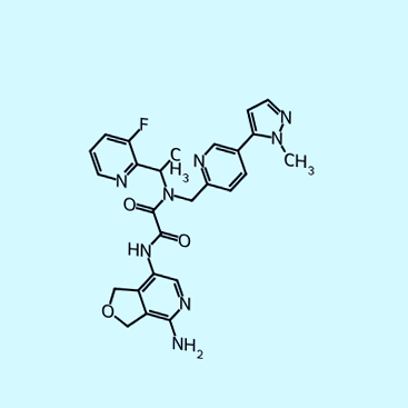 CC(c1ncccc1F)N(Cc1ccc(-c2ccnn2C)cn1)C(=O)C(=O)Nc1cnc(N)c2c1COC2